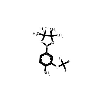 CC1(C)OB(c2ccc(N)c(OC(F)(F)F)c2)OC1(C)C